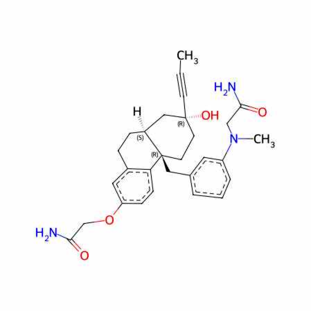 CC#C[C@@]1(O)CC[C@]2(Cc3cccc(N(C)CC(N)=O)c3)c3ccc(OCC(N)=O)cc3CC[C@H]2C1